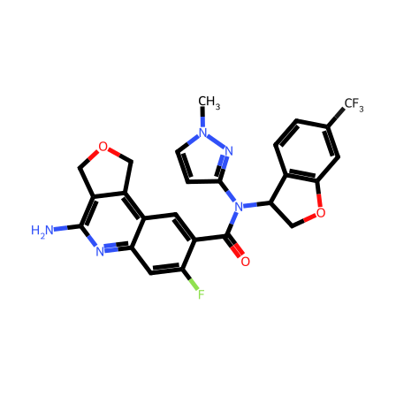 Cn1ccc(N(C(=O)c2cc3c4c(c(N)nc3cc2F)COC4)C2COc3cc(C(F)(F)F)ccc32)n1